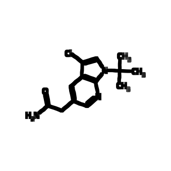 CC(C)(C)n1cc(Cl)c2cc(CC(N)=O)cnc21